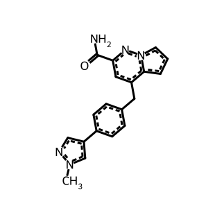 Cn1cc(-c2ccc(Cc3cc(C(N)=O)nn4cccc34)cc2)cn1